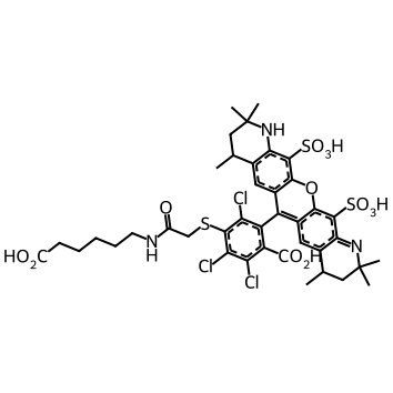 CC1CC(C)(C)Nc2c1cc1c(c2S(=O)(=O)O)Oc2c(S(=O)(=O)O)c3c(cc2=C1c1c(Cl)c(SCC(=O)NCCCCCC(=O)O)c(Cl)c(Cl)c1C(=O)O)C(C)CC(C)(C)N=3